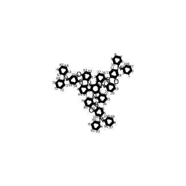 c1ccc(N(c2ccccc2)c2ccc3c(c2)Oc2cccc4c2B3c2cccc3c5c(c6c7cccc8c7n(c6c6c7cccc9c7n(c56)-c5cccc6c5B9c5ccc(N(c7ccccc7)c7ccccc7)cc5O6)-c5cccc6c5B8c5ccc(N(c7ccccc7)c7ccccc7)cc5O6)n-4c23)cc1